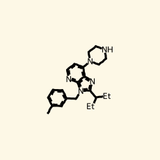 CCC(CC)c1nc2c(N3CCNCC3)ccnc2n1Cc1cccc(C)c1